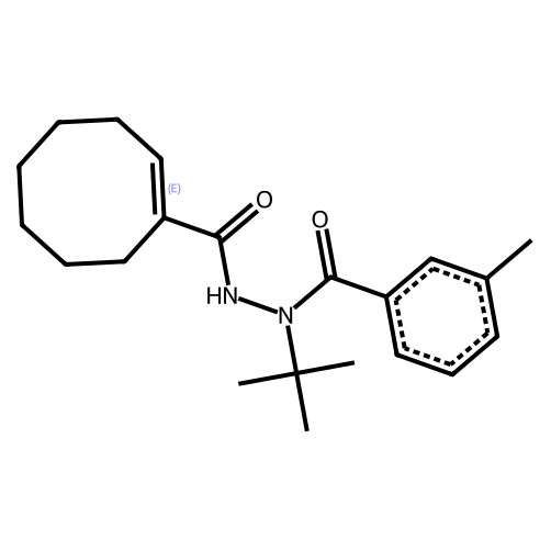 Cc1cccc(C(=O)N(NC(=O)/C2=C/CCCCCC2)C(C)(C)C)c1